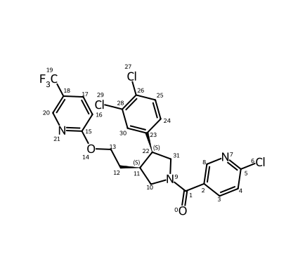 O=C(c1ccc(Cl)nc1)N1C[C@@H](CCOc2ccc(C(F)(F)F)cn2)[C@@H](c2ccc(Cl)c(Cl)c2)C1